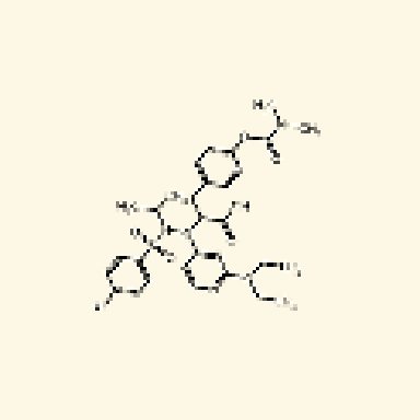 CCN(CC)c1nccc(N(C(Cc2ccc(OC(=O)N(C)C)cc2)C(=O)O)N(C(C)C)S(=O)(=O)c2ccc(Cl)cc2)n1